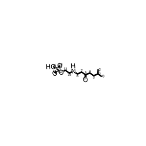 CC(C)CCC(=O)CCNCCOS(=O)(=O)O